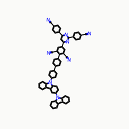 N#Cc1ccc(-c2cc(-c3cc(C#N)c(-c4ccc(-c5ccc(-n6c7ccccc7c7cc(-n8c9ccccc9c9ccccc98)ccc76)cc5)cc4)c(C#N)c3)nc(-c3ccc(C#N)cc3)n2)cc1